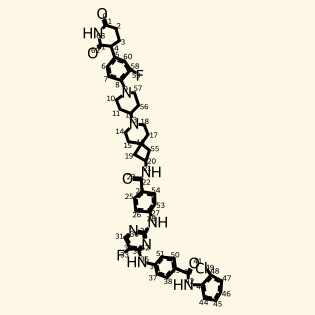 O=C1CCC(c2ccc(N3CCC(N4CCC5(CC4)CC(NC(=O)c4ccc(Nc6ncc(F)c(Nc7ccc(C(=O)Nc8ccccc8Cl)cc7)n6)cc4)C5)CC3)c(F)c2)C(=O)N1